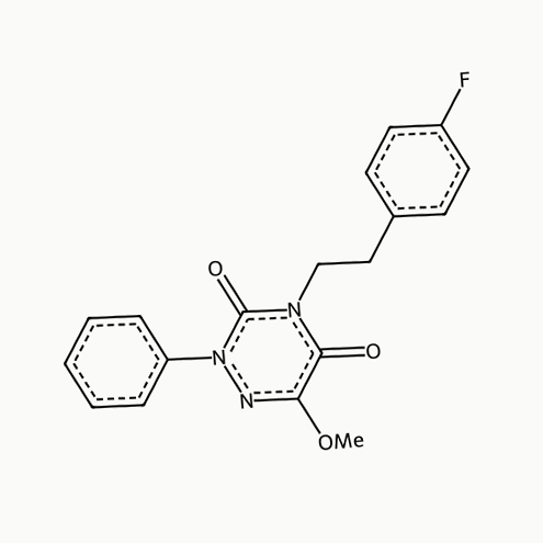 COc1nn(-c2ccccc2)c(=O)n(CCc2ccc(F)cc2)c1=O